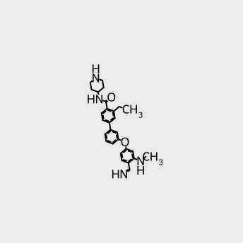 CCc1cc(-c2cccc(Oc3ccc(C=N)c(NC)c3)c2)ccc1C(=O)NC1CCNCC1